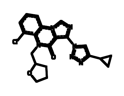 O=c1c2c(-n3cc(C4CC4)nn3)ncn2c2cccc(Cl)c2n1CC1CCCO1